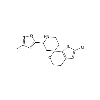 Cc1cc([C@@H]2C[C@]3(CCN2)OCCc2cc(Cl)sc23)on1